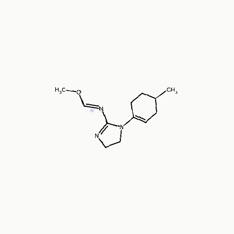 CO/C=N/C1=NCCN1C1=CCC(C)CC1